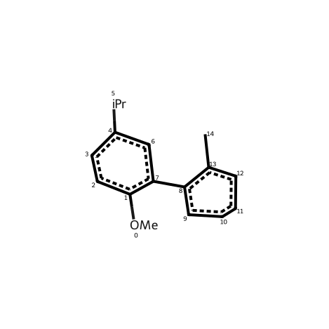 COc1ccc(C(C)C)cc1-c1ccccc1C